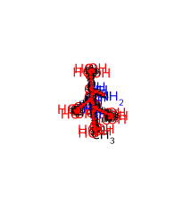 C[C@@H](O)C(O)C(O)[C@H](OCO)OCCCCCCNC(=O)CCC(NC(=O)CCC(NC(=O)CCC(NC(=O)CCCCCN)C(=O)NCCCCCCO[C@H]1O[C@H](CO)C(O)C(O)C1O)C(=O)NCCCCCCO[C@H]1O[C@H](CO)C(O)C(O)C1O)C(=O)NCCCCCCO[C@H]1O[C@H](CO)C(O)C(O)C1O